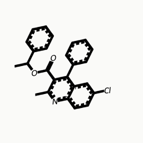 Cc1nc2ccc(Cl)cc2c(-c2ccccc2)c1C(=O)OC(C)c1ccccc1